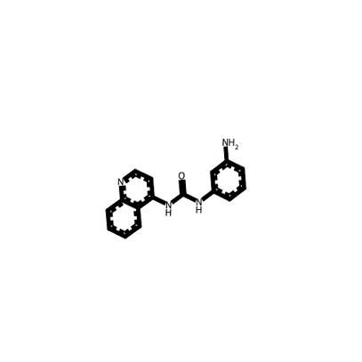 Nc1cccc(NC(=O)Nc2ccnc3ccccc23)c1